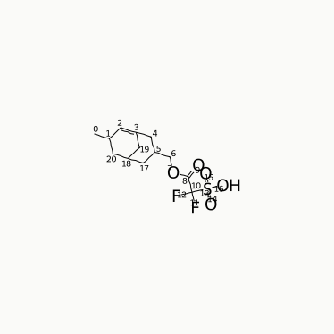 CC1C=C2CC(COC(=O)C(F)(F)S(=O)(=O)O)CC(C2)C1